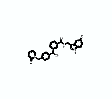 O=C(NCc1n[nH]c2ccc(Cl)cc12)c1cccc(C(O)c2ccc(Cn3ccccc3=O)cc2)c1